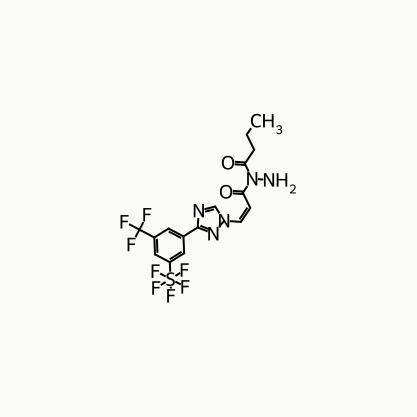 CCCC(=O)N(N)C(=O)/C=C\n1cnc(-c2cc(C(F)(F)F)cc(S(F)(F)(F)(F)F)c2)n1